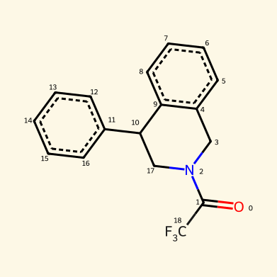 O=C(N1Cc2ccccc2C(c2ccccc2)C1)C(F)(F)F